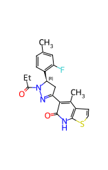 CCC(=O)N1N=C(c2c(C)c3ccsc3[nH]c2=O)C[C@@H]1c1ccc(C)cc1F